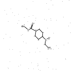 CC(C)(C)OC(=O)N1CCC([S+]([O-])CN)CC1